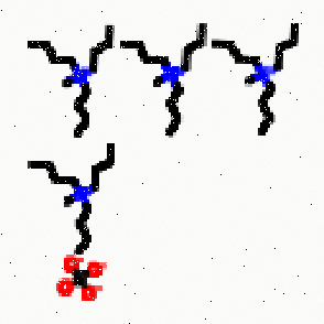 CCCC[N+](C)(CCCC)CCCC.CCCC[N+](C)(CCCC)CCCC.CCCC[N+](C)(CCCC)CCCC.CCCC[N+](C)(CCCC)CCCC.[O-][Si]([O-])([O-])[O-]